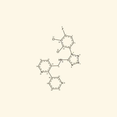 Fc1ccc(-n2nnnc2NCc2cccnc2-c2cccnc2)c(Cl)c1Cl